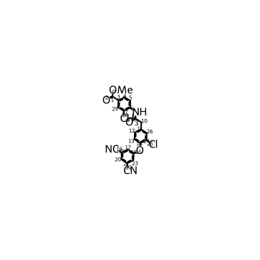 COC(=O)c1ccc(NC(=O)Cc2ccc(Oc3cc(C#N)cc(C#N)c3)c(Cl)c2)c(C)c1